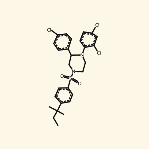 CCC(C)(C)c1ccc(S(=O)(=O)N2CCN(c3ccc(Cl)cc3Cl)C(c3ccc(Cl)cc3)C2)cc1